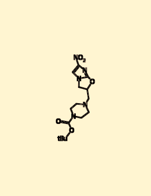 CC(C)(C)OC(=O)N1CCN(CC2Cn3cc([N+](=O)[O-])nc3O2)CC1